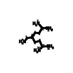 NCN(CCC(N)N)CCC(N)N